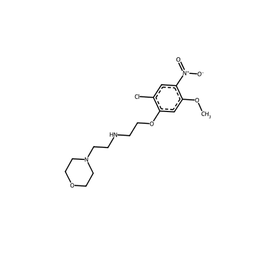 COc1cc(OCCNCCN2CCOCC2)c(Cl)cc1[N+](=O)[O-]